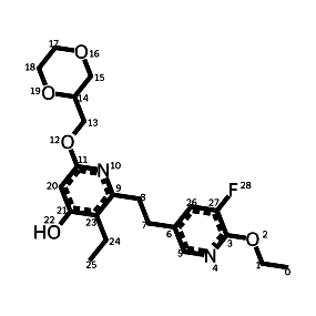 CCOc1ncc(CCc2nc(OCC3COCCO3)cc(O)c2CC)cc1F